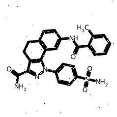 Cc1ccccc1C(=O)Nc1ccc2c(c1)-c1c(c(C(N)=O)nn1-c1ccc(S(N)(=O)=O)cc1)CC2